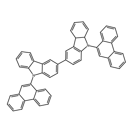 C1=CC2c3cc(-c4ccc5c(c4)c4ccccc4n5-c4cc5ccccc5c5ccccc45)ccc3N(c3cc4ccccc4c4ccccc34)C2C=C1